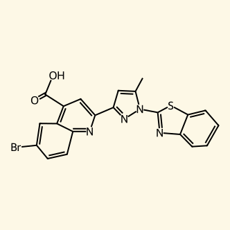 Cc1cc(-c2cc(C(=O)O)c3cc(Br)ccc3n2)nn1-c1nc2ccccc2s1